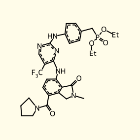 CCOP(=O)(Cc1ccc(Nc2ncc(C(F)(F)F)c(Nc3ccc(C(=O)N4CCCC4)c4c3C(=O)N(C)C4)n2)cc1)OCC